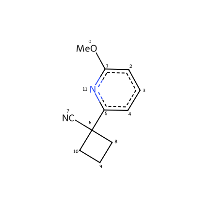 COc1cccc(C2(C#N)CCC2)n1